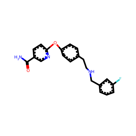 NC(=O)c1ccc(Oc2ccc(CCNCc3cccc(F)c3)cc2)nc1